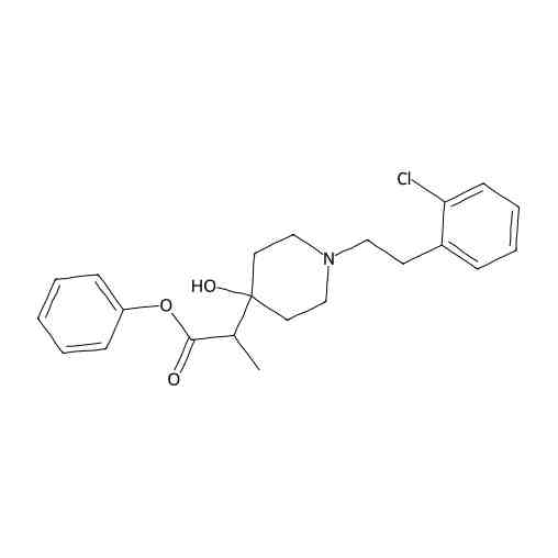 CC(C(=O)Oc1ccccc1)C1(O)CCN(CCc2ccccc2Cl)CC1